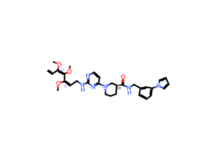 C=C/C(OC)=C(OC)\C(=C/CNc1nccc(N2CCC[C@H](C(=O)NCc3cccc(-n4cccc4)c3)C2)n1)OC